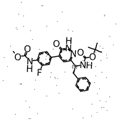 COC(=O)Nc1ccc(-c2cc([C@H](Cc3ccccc3)NC(=O)OC(C)(C)C)n[nH]c2=O)cc1F